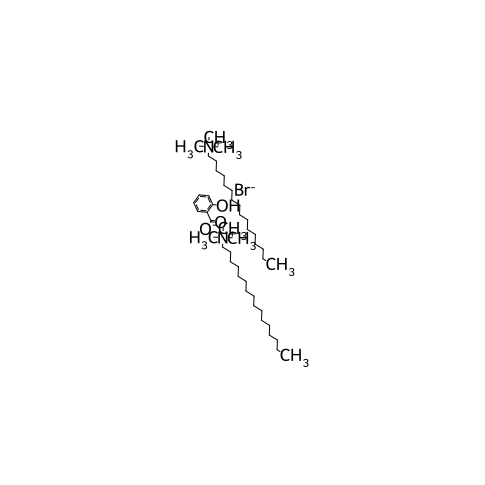 CCCCCCCCCCCCCCCC[N+](C)(C)C.CCCCCCCCCCCCCCCC[N+](C)(C)C.O=C([O-])c1ccccc1O.[Br-]